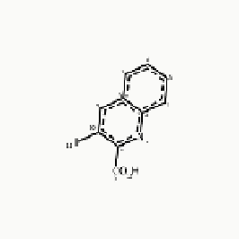 O=C(O)c1nc2ccccc2cc1I